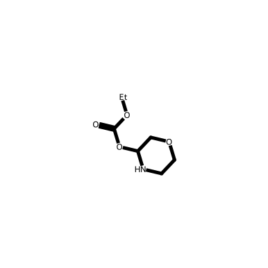 CCOC(=O)OC1COCCN1